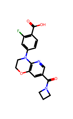 O=C(O)c1ccc(N2CCOc3cc(C(=O)N4CCC4)cnc32)cc1F